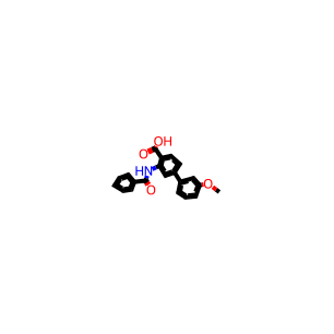 COc1cccc(-c2ccc(C(=O)O)c(NC(=O)c3ccccc3)c2)c1